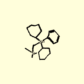 C[Si](C)(C)[CH2][Sn]([c]1ccccc1)([CH]1CCCCC1)[CH]1CCCCC1